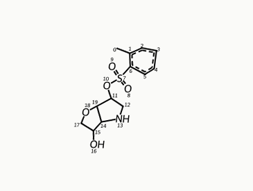 Cc1ccccc1S(=O)(=O)OC1CNC2C(O)COC12